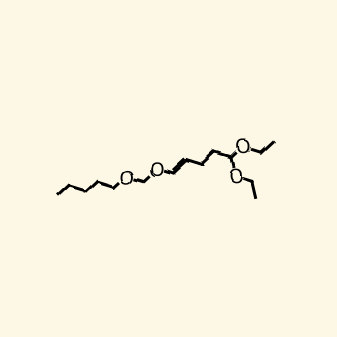 CCCCCOCOC=CCCC(OCC)OCC